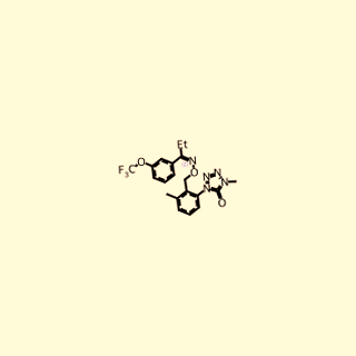 CC/C(=N/OCc1c(C)cccc1-n1nnn(C)c1=O)c1cccc(OC(F)(F)F)c1